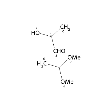 CC(O)C=O.COC(C)OC